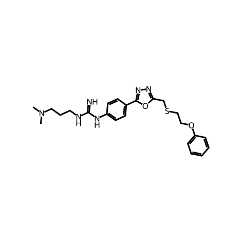 CN(C)CCCNC(=N)Nc1ccc(-c2nnc(CSCCOc3ccccc3)o2)cc1